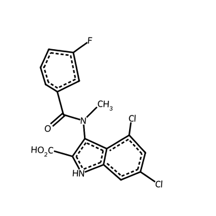 CN(C(=O)c1cccc(F)c1)c1c(C(=O)O)[nH]c2cc(Cl)cc(Cl)c12